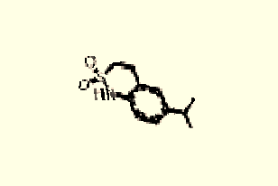 CC(C)c1ccc2c(c1)CCS(=O)(=O)N2